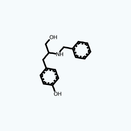 OCC(Cc1ccc(O)cc1)NCc1ccccc1